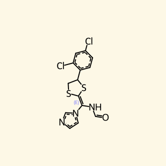 O=CN/C(=C1/SCC(c2ccc(Cl)cc2Cl)S1)n1ccnc1